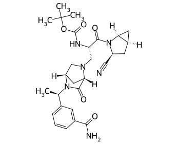 C[C@H](c1cccc(C(N)=O)c1)N1C(=O)[C@@H]2C[C@H]1CN2C[C@H](NC(=O)OC(C)(C)C)C(=O)N1[C@H](C#N)C[C@@H]2C[C@@H]21